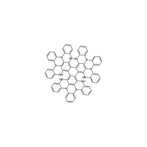 B1c2ccccc2N2c3ccccc3B3c4ccccc4Nc4c3c2c1c1c2c3c5c6c(c2c2c7c8c9c(c2c41)Bc1ccccc1N9c1ccccc1B8c1ccccc1N7)Bc1ccccc1N6c1ccccc1B5c1ccccc1N3